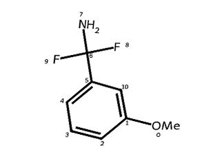 COc1cccc(C(N)(F)F)c1